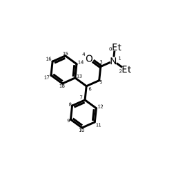 CCN(CC)C(=O)CC(c1ccccc1)c1ccccc1